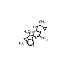 C[C@H](C1CC1)C1(c2cncc(C(F)(F)F)c2)N=C(N)N=C(N[C@H](C)C2CC2)N1